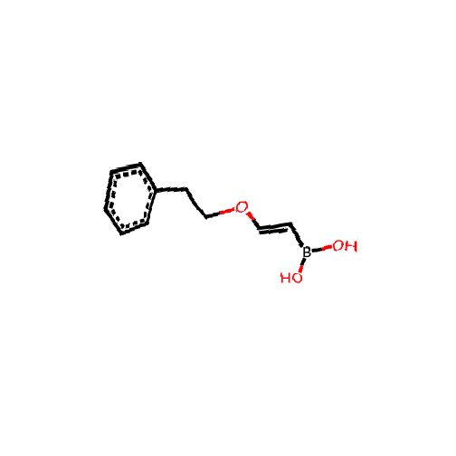 OB(O)/C=C/OCCc1ccccc1